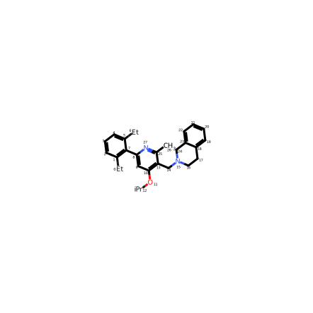 CCc1cccc(CC)c1-c1cc(OC(C)C)c(CN2CCc3ccccc3C2)c(C)n1